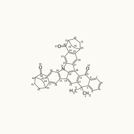 CC1(C)c2ccccc2C(=O)c2c1cc1c3cc4c(cc3n3c5cc6c(cc5c2c13)C1CCC(CC1)C6=O)C(=O)C1CCC4CC1